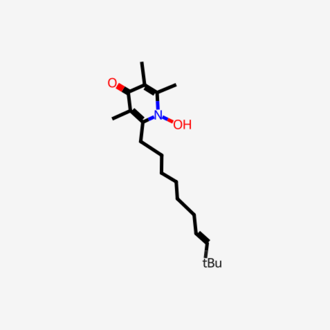 Cc1c(C)n(O)c(CCCCCC/C=C/C(C)(C)C)c(C)c1=O